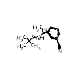 C[C@H](NSC(C)(C)C)c1cccc(C#N)c1